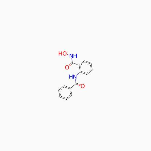 O=C(Nc1ccccc1C(=O)NO)c1ccccc1